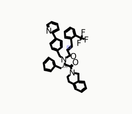 O=C([C@H](Cc1ccccc1)N(Cc1ccc(-c2ccccn2)cc1)C(=O)/C=C/c1ccccc1C(F)(F)F)N1CCc2ccccc2C1